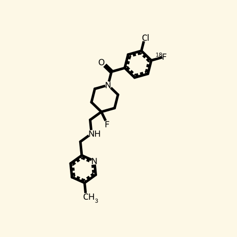 Cc1ccc(CNCC2(F)CCN(C(=O)c3ccc([18F])c(Cl)c3)CC2)nc1